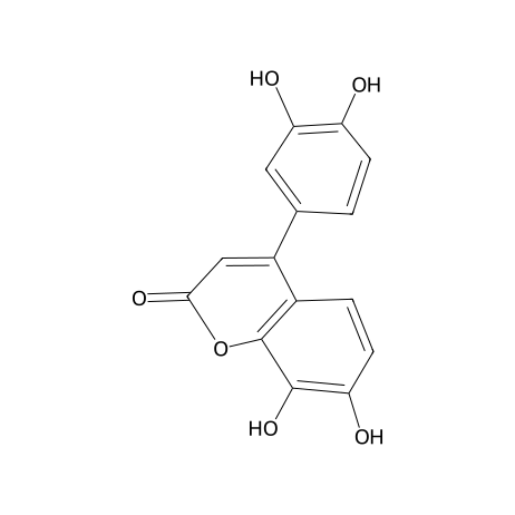 O=c1cc(-c2ccc(O)c(O)c2)c2ccc(O)c(O)c2o1